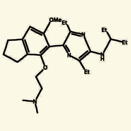 CCc1nc(-c2c(OC)cc3c(c2OCCN(C)C)CCC3)c(CC)nc1NC(CC)CC